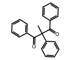 CC(C(=O)c1ccccc1)(C(=O)c1ccccc1)c1ccccc1